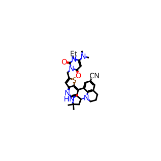 CCn1c(N(C)C)cc(=O)n(Cc2cc3nccc(-c4cc(C#N)cc5c4N([C@@H]4CNC(C)(C)C4)CCC5)c3s2)c1=O